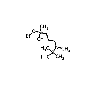 CCO[Si](C)(C)CCCN(C)[Si](C)(C)C